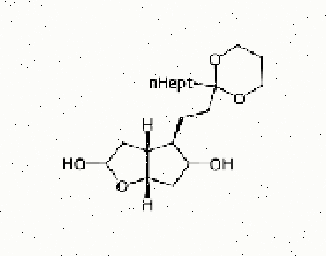 CCCCCCCC1(CC[C@H]2C(O)C[C@@H]3OC(O)C[C@@H]32)OCCCO1